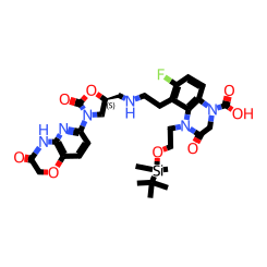 CC(C)(C)[Si](C)(C)OCCN1C(=O)CN(C(=O)O)c2ccc(F)c(CCNC[C@H]3CN(c4ccc5c(n4)NC(=O)CO5)C(=O)O3)c21